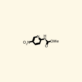 COC(=O)Nc1ccc([N+](=O)[O-])cn1